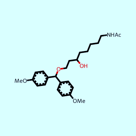 COc1ccc(C(OCCC(O)CCCCCNC(C)=O)c2ccc(OC)cc2)cc1